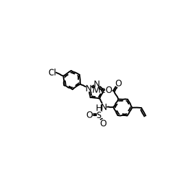 C=Cc1ccc(N(c2cnn(-c3ccc(Cl)cc3)c2)[SH](=O)=O)c(C(=O)OC)c1